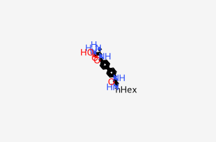 CCCCCCNCC(=O)Nc1ccc(-c2ccc(C(=O)N[C@@H](CN)C(=O)NO)cc2)cc1